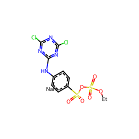 CCOS(=O)(=O)OS(=O)(=O)c1ccc(Nc2nc(Cl)nc(Cl)n2)cc1.[NaH]